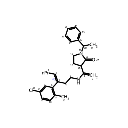 C=C(NCC/C(=C/CCC)c1cc(Cl)ccc1C)C1CCN(C(C)c2ccccc2)C1=O